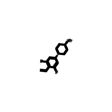 C=Cc1c(F)cc([C@H]2CC[C@H](CCC)CC2)cc1F